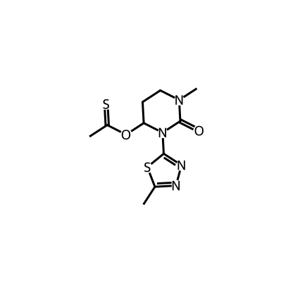 CC(=S)OC1CCN(C)C(=O)N1c1nnc(C)s1